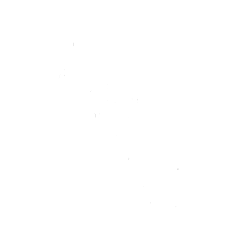 CCC(C)COC(C)(C)c1ccc(-c2ccccc2)cc1